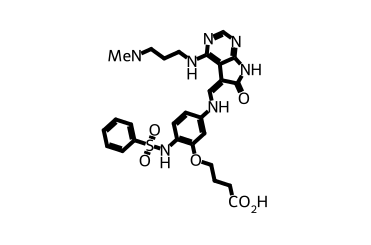 CNCCCNc1ncnc2c1/C(=C/Nc1ccc(NS(=O)(=O)c3ccccc3)c(OCCCC(=O)O)c1)C(=O)N2